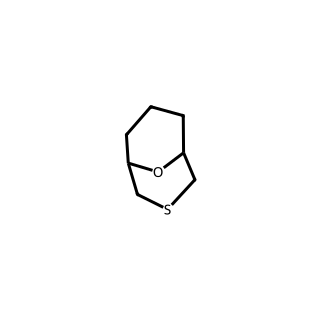 C1CC2CSCC(C1)O2